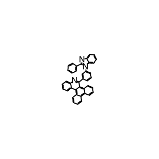 c1ccc(-c2nc3ccccc3n2-c2cccc(-c3nc4ccccc4c4c5ccccc5c5ccccc5c34)c2)cc1